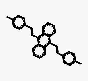 Cc1ccc(C=Cc2c3ccccc3c(C=Cc3ccc(C)cc3)c3ccccc23)cc1